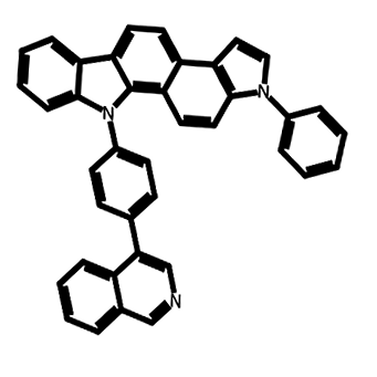 c1ccc(-n2ccc3c4ccc5c6ccccc6n(-c6ccc(-c7cncc8ccccc78)cc6)c5c4ccc32)cc1